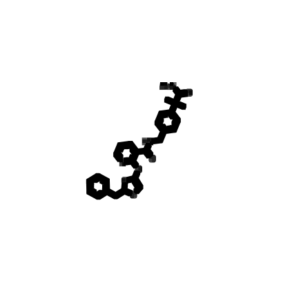 CNC(=O)C(C)(C)c1ccc(CNC(=O)c2cccnc2OC2=COC(Cc3ccccc3)O2)cc1